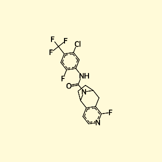 O=C(Nc1cc(Cl)c(C(F)(F)F)cc1F)N1C2CCC1c1ccnc(F)c1C2